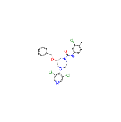 Cc1ccc(NC(=O)N2CCN(c3c(Cl)cncc3Cl)CC(OCc3ccccc3)C2)cc1Cl